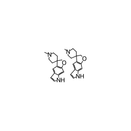 CN1CCC2(CC1)COc1cc3[nH]ccc3cc12.CN1CCC2(CC1)COc1cc3[nH]ccc3cc12